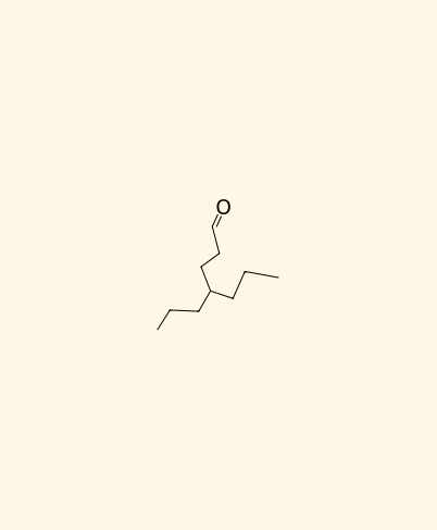 CCCC(CCC)CCC=O